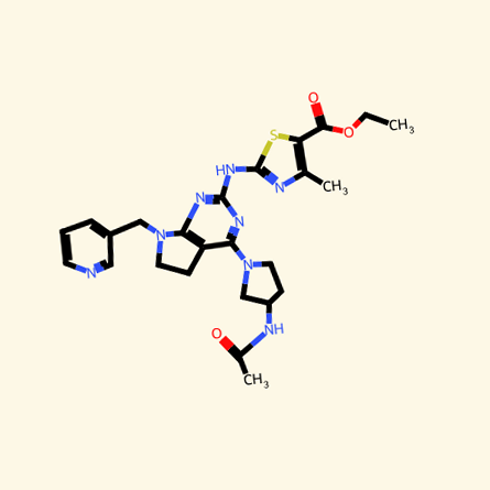 CCOC(=O)c1sc(Nc2nc3c(c(N4CCC(NC(C)=O)C4)n2)CCN3Cc2cccnc2)nc1C